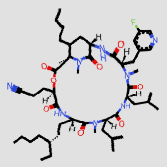 CCCCC1C[C@@H]2NC(=O)[C@H](Cc3cncc(F)c3)N(C)C(=O)[C@H](CC(C)C)NC(=O)[C@H](CC(C)C)N(C)C(=O)[C@H](CC[C@H](CC)CCCC)NC(=O)[C@@H](CCC#N)OC(=O)[C@]1(C)N(C)C2=O